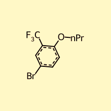 CCCOc1ccc(Br)cc1C(F)(F)F